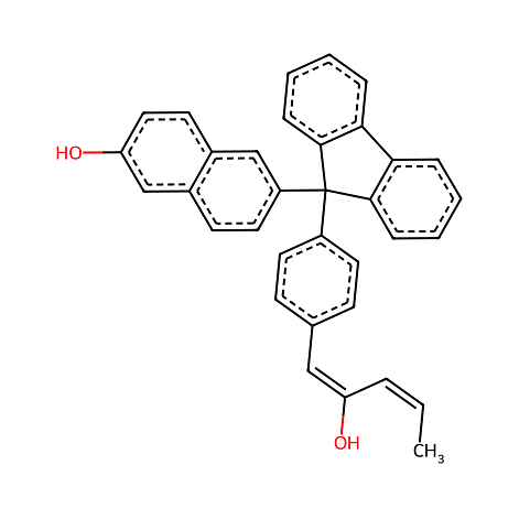 C/C=C\C(O)=C/c1ccc(C2(c3ccc4cc(O)ccc4c3)c3ccccc3-c3ccccc32)cc1